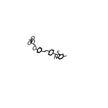 Cc1ccc2nc(-c3ccc(/C=C/c4ccc(OCCOS(C)(=O)=O)cc4)cc3)sc2c1